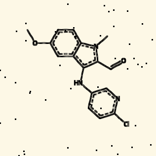 COc1ccc2c(c1)c(Nc1ccc(Cl)nc1)c(C=O)n2C